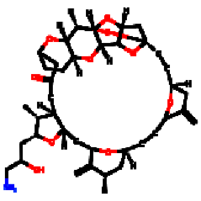 C=C1C[C@@H]2CC[C@@]34C[C@H]5O[C@H]6[C@@H](O3)[C@H]3OC(CC[C@@H]3O[C@H]6C5O4)CC(=O)C[C@@H]3[C@@H](C)[C@@H](CC(O)CN)O[C@H]3CC3O[C@@H](CCC1O2)C[C@@H](C)C3=C